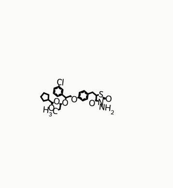 CCC(OC(=O)C1CCCC1)OC(COc1ccc(CC2SC(=O)N(N)C2=O)cc1)c1cccc(Cl)c1